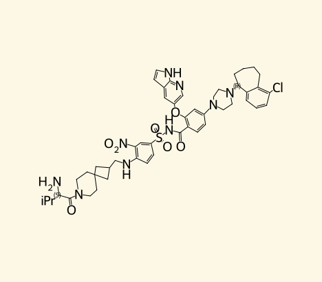 CC(C)[C@H](N)C(=O)N1CCC2(CC1)CC(CNc1ccc(S(=O)(=O)NC(=O)c3ccc(N4CCN([C@@H]5CCCCc6c(Cl)cccc65)CC4)cc3Oc3cnc4[nH]ccc4c3)cc1[N+](=O)[O-])C2